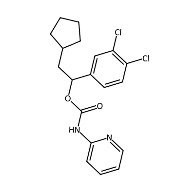 O=C(Nc1ccccn1)OC(CC1CCCC1)c1ccc(Cl)c(Cl)c1